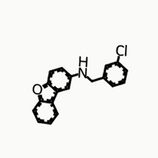 Clc1cccc(CNc2ccc3oc4ccccc4c3c2)c1